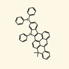 CC1(C)c2ccccc2-c2cc3cccc4c3c3c2c1ccc3c1c4c2ccc(N(c3ccccc3)c3ccccc3)cc2n1-c1ccccc1